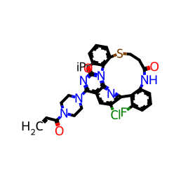 C=CC(=O)N1CCN(c2nc(=O)n3c4nc(c(Cl)cc24)-c2c(F)cccc2NC(=O)CCSc2cccc(C(C)C)c2-3)CC1